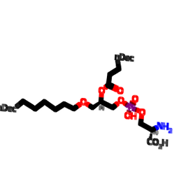 CCCCCCCCCCCCCCCCOC[C@H](COP(=O)(O)OC[C@H](N)C(=O)O)OC(=O)CCCCCCCCCCCC